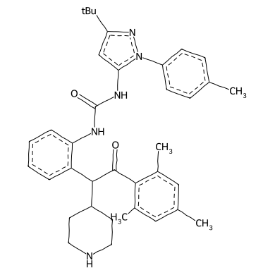 Cc1ccc(-n2nc(C(C)(C)C)cc2NC(=O)Nc2ccccc2C(C(=O)c2c(C)cc(C)cc2C)C2CCNCC2)cc1